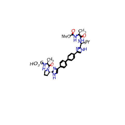 COC(=O)N[C@@H](C)C(=O)N[C@H](c1nc(-c2ccc(-c3ccc(-c4c[nH]c([C@@H]5CCCN5C(=O)[C@H](C)NC(=O)O)n4)cc3)cc2)c[nH]1)C(C)C